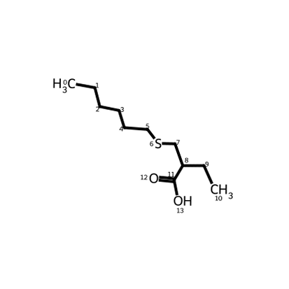 CCCCCCSCC(CC)C(=O)O